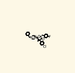 CN(Cc1ccc(F)cc1)C(=O)C1(c2ccc(Cl)cc2)CC1CN1CCN(Cc2ccccc2)CC1